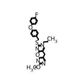 CCCn1cc(Cc2cnc(OC)nc2)c(=O)nc1SCc1ccc(Oc2ccc(F)cc2)cc1